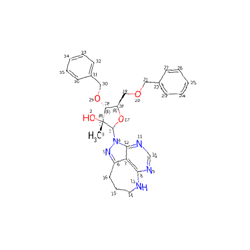 C[C@]1(O)C(n2nc3c4c(ncnc42)NCCC3)O[C@H](COCc2ccccc2)[C@H]1OCc1ccccc1